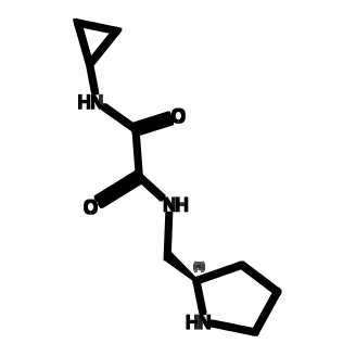 O=C(NC[C@H]1CCCN1)C(=O)NC1CC1